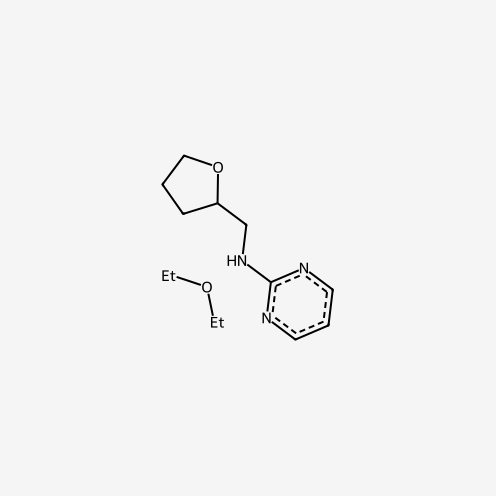 CCOCC.c1cnc(NCC2CCCO2)nc1